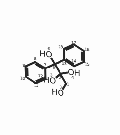 OCC(O)(O)C(O)(c1ccccc1)c1ccccc1